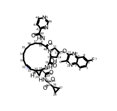 Cc1nc2ccc(F)cc2nc1O[C@@H]1C[C@H]2C(=O)N[C@]3(C(=O)NS(=O)(=O)C4CC4)C[C@H]3/C=C\CCCCC[C@H](NC(=O)c3ccncn3)C(=O)N2C1